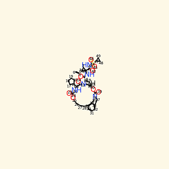 C=C[C@@H]1C[C@]1(NC(=O)[C@@H]1C[C@@H]2CN1C(=O)[C@H](C1CCCC1)NC(=O)OCCCCc1cccc3c1CN(C3)C(=O)O2)C(=O)NS(=O)(=O)C1CC1